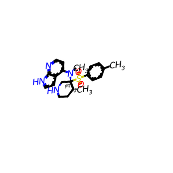 Cc1ccc(S(=O)(=O)[C@@]2(N(C)c3ccnc4[nH]ccc34)CNCC[C@H]2C)cc1